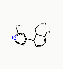 COc1cc(C2C=CC=C(C(C)C)C2CC=O)ccn1